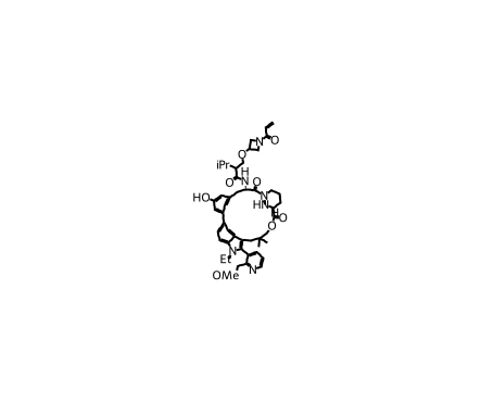 C=CC(=O)N1CC(OCC(C(=O)N[C@H]2Cc3cc(O)cc(c3)-c3ccc4c(c3)c(c(-c3cccnc3COC)n4CC)CC(C)(C)COC(=O)[C@@H]3CCCN(N3)C2=O)C(C)C)C1